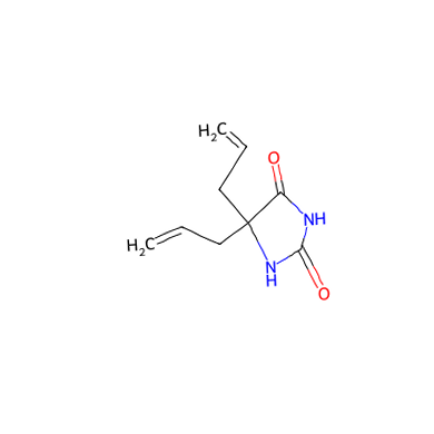 C=CCC1(CC=C)NC(=O)NC1=O